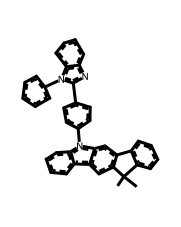 CC1(C)c2ccccc2-c2cc3c(cc21)c1ccccc1n3-c1ccc(-c2nc3ccccc3n2-c2ccccc2)cc1